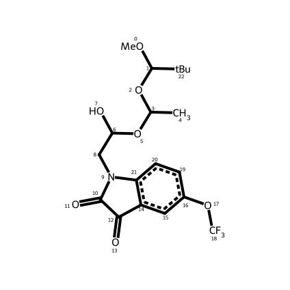 COC(OC(C)OC(O)CN1C(=O)C(=O)c2cc(OC(F)(F)F)ccc21)C(C)(C)C